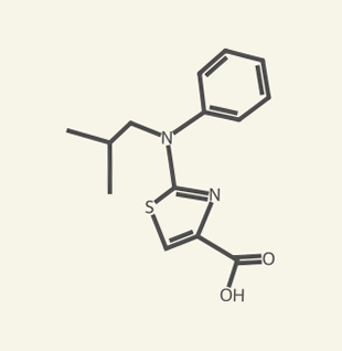 CC(C)CN(c1ccccc1)c1nc(C(=O)O)cs1